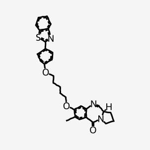 Cc1cc2c(cc1OCCCCCOc1ccc(-c3nc4ccccc4s3)cc1)N=C[C@@H]1CCCN1C2=O